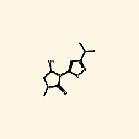 CC(C)c1cc(N2C(=O)N(C)CC2O)on1